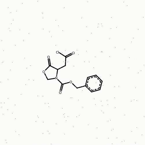 O=C(Cl)CC1C(=O)OCN1C(=O)OCc1ccccc1